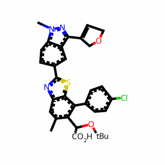 Cc1cc2nc(-c3ccc4c(c3)c(C3=CCOC3)nn4C)sc2c(-c2ccc(Cl)cc2)c1C(OC(C)(C)C)C(=O)O